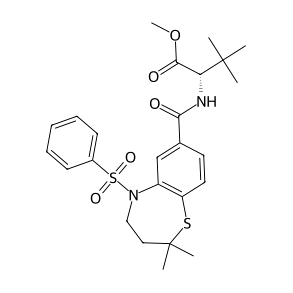 COC(=O)[C@@H](NC(=O)c1ccc2c(c1)N(S(=O)(=O)c1ccccc1)CCC(C)(C)S2)C(C)(C)C